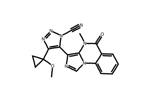 COC1(c2nnn(C#N)c2-c2ncn3c4ccccc4c(=O)n(C)c23)CC1